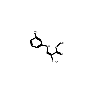 CCC(C)OC(=O)C(=CNc1cccc([N+](=O)[O-])c1)C(=O)O